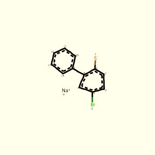 [Na+].[S-]c1ccc(Br)cc1-c1ccccc1